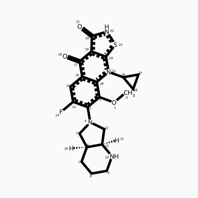 COc1c(N2C[C@@H]3CCCN[C@@H]3C2)c(F)cc2c(=O)c3c(=O)[nH]sc3n(C3CC3)c12